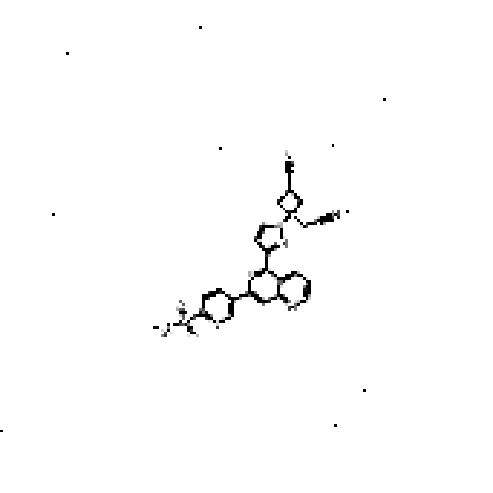 CS(=O)(=O)c1ccc(-c2cc3ncccc3c(-c3ccn([C@]4(CC#N)C[C@@H](C#N)C4)n3)n2)cn1